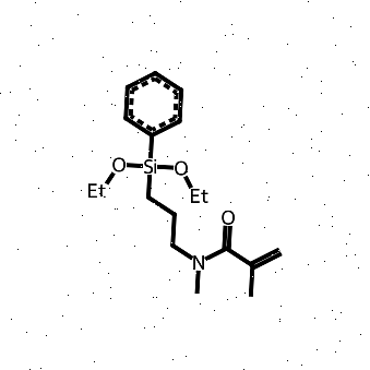 C=C(C)C(=O)N(C)CCC[Si](OCC)(OCC)c1ccccc1